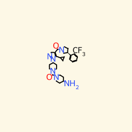 NC1CCN(C(=O)N2CCC(n3ncc(C(=O)N4CC[C@@H](c5ccccc5C(F)(F)F)C4)c3C3CC3)CC2)CC1